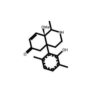 CO[C@]12C=CC(=O)CC1(c1c(C)ccc(C)c1O)CCNC2C